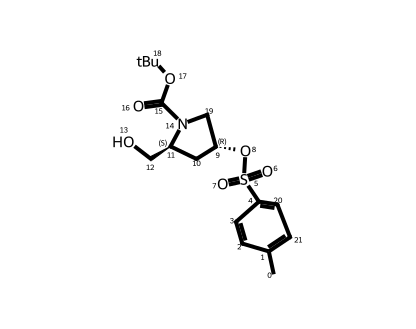 Cc1ccc(S(=O)(=O)O[C@@H]2C[C@@H](CO)N(C(=O)OC(C)(C)C)C2)cc1